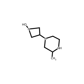 CC1CN(C2CN(O)C2)CCN1